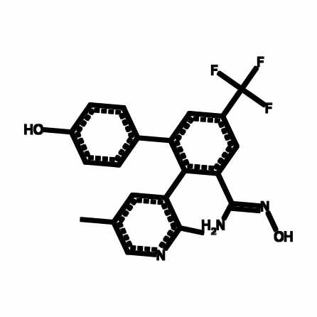 Cc1cnc(C)c(-c2c(/C(N)=N/O)cc(C(F)(F)F)cc2-c2ccc(O)cc2)c1